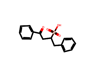 O=C(CC(Cc1ccccc1)S(=O)(=O)O)c1ccccc1